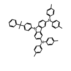 Cc1ccc(N(c2ccc(C)cc2)c2ccc3c(c2)c2cc(N(c4ccc(C)cc4)c4ccc(C)cc4)ccc2n3-c2ccc(C(C)(C)c3ccccc3)cc2)cc1